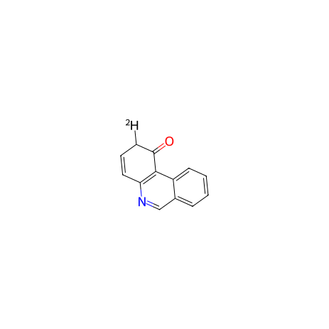 [2H]C1C=Cc2ncc3ccccc3c2C1=O